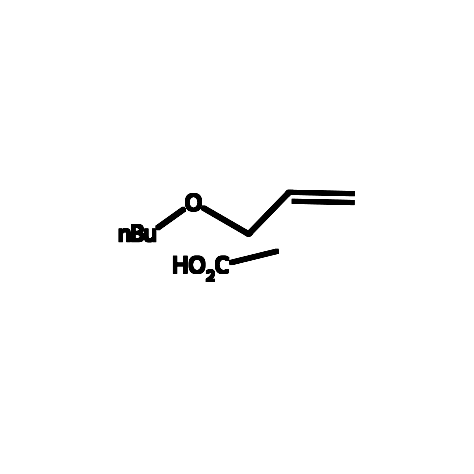 C=CCOCCCC.CC(=O)O